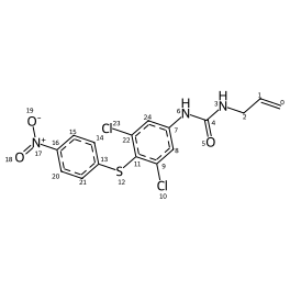 C=CCNC(=O)Nc1cc(Cl)c(Sc2ccc([N+](=O)[O-])cc2)c(Cl)c1